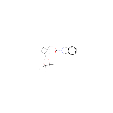 C[C@H](OC(=O)N1Cc2ccccc2C1)[C@]1(C)CCC1B1OC(C)(C)C(C)(C)O1